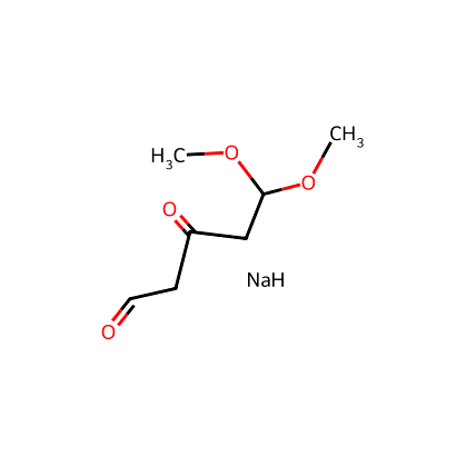 COC(CC(=O)CC=O)OC.[NaH]